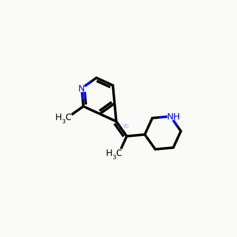 C/C(=C1/c2ccnc(C)c21)C1CCCNC1